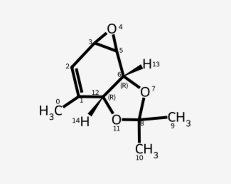 CC1=CC2OC2[C@@H]2OC(C)(C)O[C@H]12